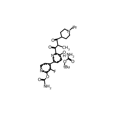 CC(C(=O)c1nc(-c2ccnc(OC(N)=O)c2F)ccc1O)C(=O)C1CCN(C(C)C)CC1.CC(C)(C)OC(N)=O